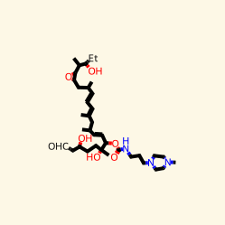 CCC(O)C(C)C1OC1CC(C)/C=C/C=C(\C)CC(C)/C=C/C(OC(=O)NCCCN1CCN(C)CC1)C(C)(O)CCC(O)CC=O